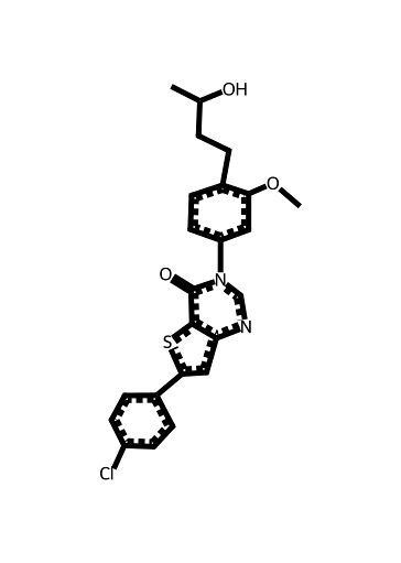 COc1cc(-n2cnc3cc(-c4ccc(Cl)cc4)sc3c2=O)ccc1CCC(C)O